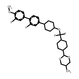 CC1COC(C2CCC(C(F)(F)OC3CCC(c4ccc(-c5ccc(OC(F)(F)F)c(F)c5)c(F)c4)CC3)CC2)OC1